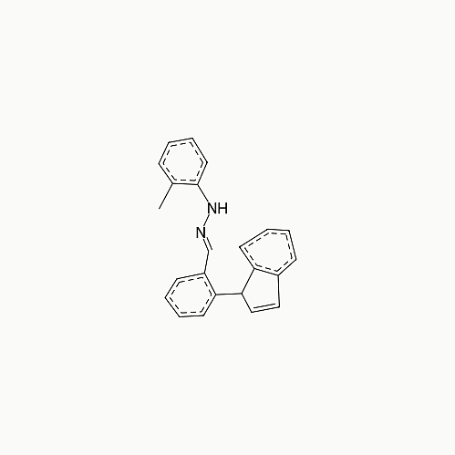 Cc1ccccc1NN=Cc1ccccc1C1C=Cc2ccccc21